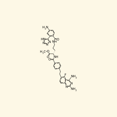 COC(=O)[C@H](CCCNC(=O)c1ccc(N)cc1-c1nnn[nH]1)NC(=O)c1ccc(CCc2ccc3nc(N)nc(N)c3c2F)cc1